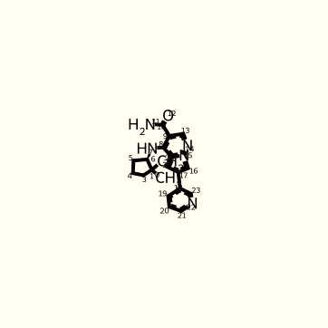 CC1(C)CCC[C@H]1Nc1c(C(N)=O)cnn2cc(-c3cccnc3)cc12